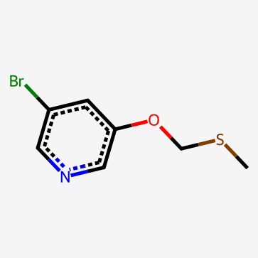 CSCOc1cncc(Br)c1